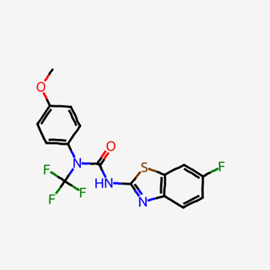 COc1ccc(N(C(=O)Nc2nc3ccc(F)cc3s2)C(F)(F)F)cc1